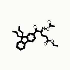 CCCC1(CCC)c2ccccc2-c2ccc(C(=O)/C(CCC(=O)OCC)=N/OC(C)=O)cc21